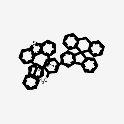 CC1C=CC=CC1[C@@H](c1ccccc1)c1cccc2sc3cccc([C@H](Cc4ccc5c(c4)-c4ccccc4C54c5ccccc5Cc5ccccc54)c4ccccc4)c3c12